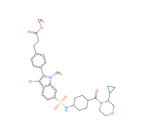 COC(=O)CCc1ccc(-c2c(Cl)c3ccc(S(=O)(=O)NC4CCC(C(=O)N5CCOCC5C5CC5)CC4)cc3n2C)cc1